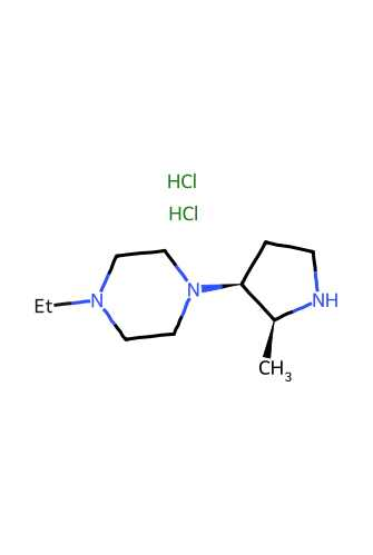 CCN1CCN([C@H]2CCN[C@H]2C)CC1.Cl.Cl